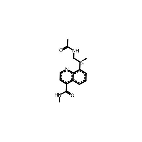 CNC(=O)c1ccnc2c([C@H](C)CNC(C)=O)cccc12